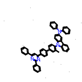 Cc1cc(-c2ccc(-c3cc(-c4ccccc4)nc(-c4ccccc4)n3)cc2)ccc1-n1c2ccccc2c2cc(N(c3ccccc3)c3ccccc3)ccc21